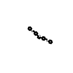 C(=N\c1ccccc1)/c1ccc(-c2ccc(-c3ccc(/C=N/c4ccccc4)cc3)o2)cc1